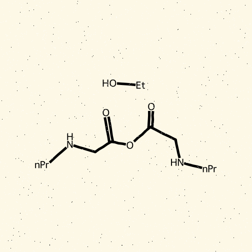 CCCNCC(=O)OC(=O)CNCCC.CCO